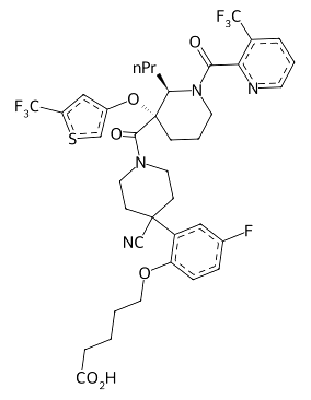 CCC[C@H]1N(C(=O)c2ncccc2C(F)(F)F)CCC[C@@]1(Oc1csc(C(F)(F)F)c1)C(=O)N1CCC(C#N)(c2cc(F)ccc2OCCCCC(=O)O)CC1